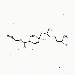 C#CCOC(=O)C1C=CC(Cl)(OC(C)CCCC(C)C)C=C1